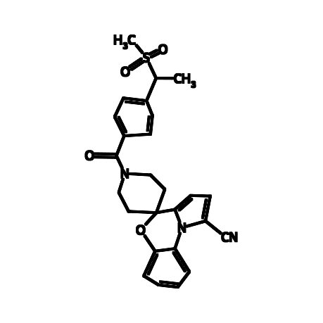 CC(c1ccc(C(=O)N2CCC3(CC2)Oc2ccccc2-n2c(C#N)ccc23)cc1)S(C)(=O)=O